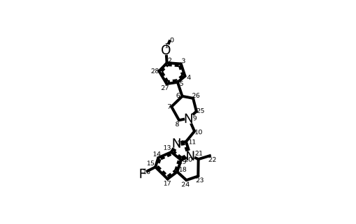 COc1ccc(C2CCN(Cc3nc4cc(F)cc5c4n3C(C)CC5)CC2)cc1